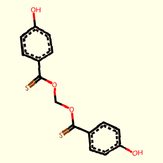 Oc1ccc(C(=S)OCOC(=S)c2ccc(O)cc2)cc1